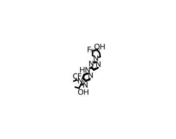 CC(O)c1nc2cnc(Nc3ccnc(N4CC[C@@H](O)[C@@H](F)C4)n3)cc2n1C(C)C(F)(F)F